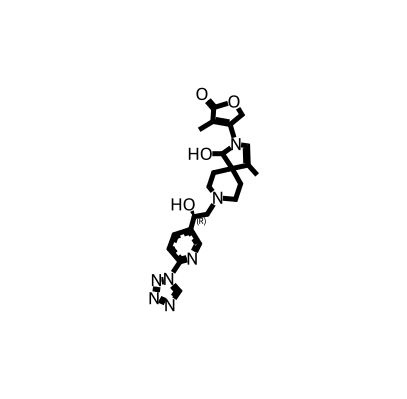 CC1=CN(C2=C(C)C(=O)OC2)C(O)C12CCN(C[C@H](O)c1ccc(-n3cnnn3)nc1)CC2